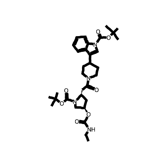 CCNC(=O)O[C@@H]1C[C@@H](CC(=O)N2CCC(c3cn(C(=O)OC(C)(C)C)c4ccccc34)CC2)N(C(=O)OC(C)(C)C)C1